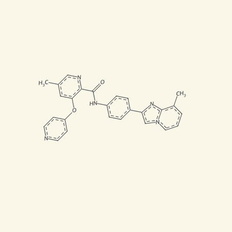 Cc1cnc(C(=O)Nc2ccc(-c3cn4cccc(C)c4n3)cc2)c(Oc2ccncc2)c1